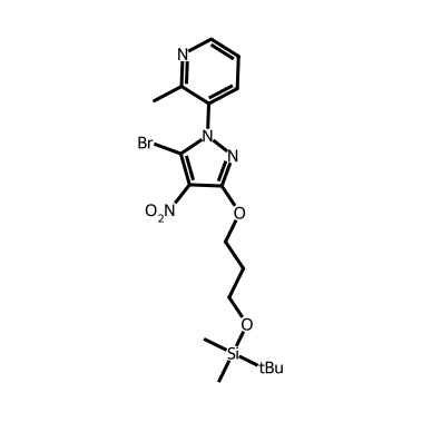 Cc1ncccc1-n1nc(OCCCO[Si](C)(C)C(C)(C)C)c([N+](=O)[O-])c1Br